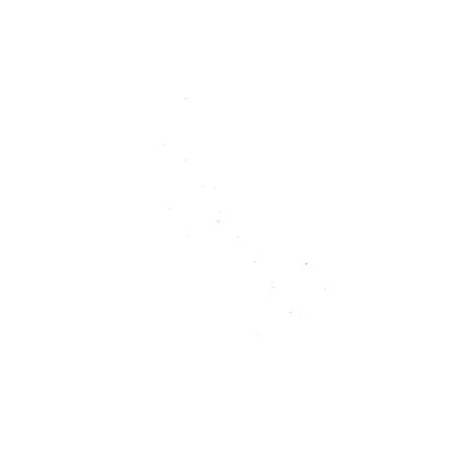 OC(F)C(F)(F)C(F)(F)C(F)(F)C(F)(F)C(F)(F)C(F)(F)C(F)(F)C(F)F